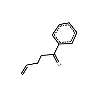 C=C[CH]CC(=O)c1ccccc1